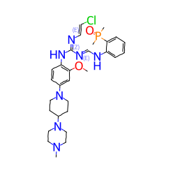 COc1cc(N2CCC(N3CCN(C)CC3)CC2)ccc1NC(=N/C=C/Cl)/N=C/Nc1ccccc1P(C)(C)=O